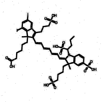 CCCC(N1\C(=C/C=C/C=C/C=C/C2=C(CCCS(=O)(=O)O)c3cc(I)cc(I)c3C2(C)CCCCCC(=O)O)C(C)(CCCCS(=O)(=O)O)c2cc(S(=O)(=O)O)ccc21)S(=O)(=O)O